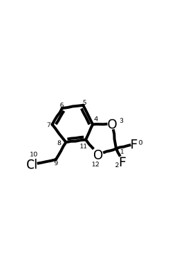 FC1(F)Oc2cccc(CCl)c2O1